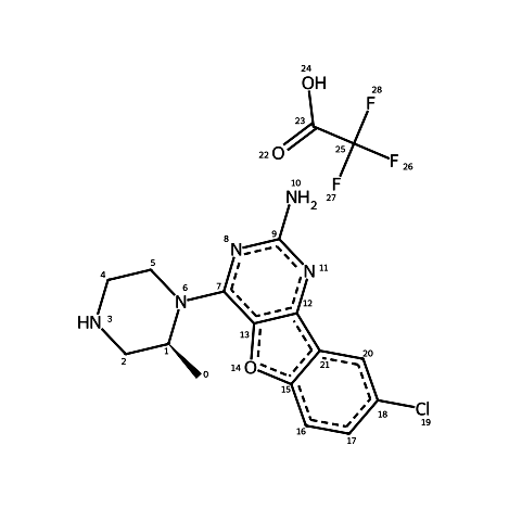 C[C@H]1CNCCN1c1nc(N)nc2c1oc1ccc(Cl)cc12.O=C(O)C(F)(F)F